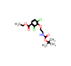 CCOC(=O)c1ccc(Cl)c(OCCNC(=O)OC(C)(C)C)c1Cl